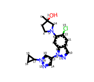 CC1(O)CCN(c2cc3c(cnn3-c3cnn(C4CC4)c3)cc2Cl)C1